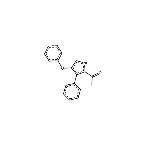 CC(=O)c1[nH]cc(Oc2ccccc2)c1-c1ccccc1